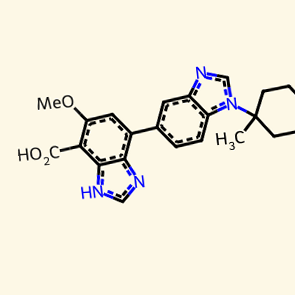 COc1cc(-c2ccc3c(c2)ncn3C2(C)CCCCC2)c2nc[nH]c2c1C(=O)O